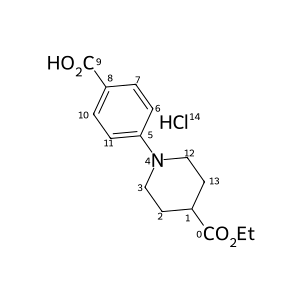 CCOC(=O)C1CCN(c2ccc(C(=O)O)cc2)CC1.Cl